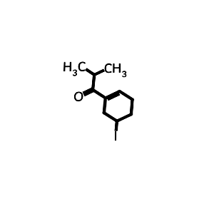 CC(C)C(=O)C1=CCCC(I)C1